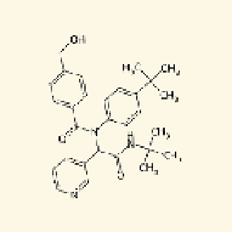 CC(C)(C)NC(=O)C(c1cccnc1)N(C(=O)c1ccc(CO)cc1)c1ccc(C(C)(C)C)cc1